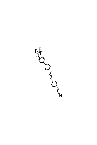 N#C/C=C/[C@H]1CC[C@H](CCCC[C@H]2CC[C@H](c3ccc(OC(F)(F)F)cc3)CC2)CC1